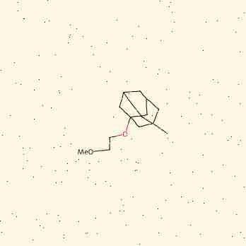 COCCOC12CC3CC(CC(C)(C3)C1)C2